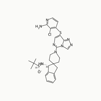 CC(C)(C)[S@@+]([O-])N[C@H]1c2ccccc2CC12CCN(c1ncc(Sc3ccnc(N)c3Cl)c3nncn13)CC2